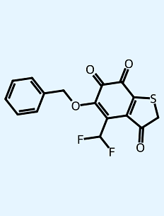 O=C1CSC2=C1C(C(F)F)=C(OCc1ccccc1)C(=O)C2=O